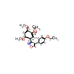 CCOc1ccc(-c2conc2-c2cc(OC)c(OC)cc2OC)cc1